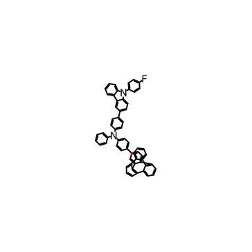 Fc1ccc(-n2c3ccccc3c3cc(-c4ccc(N(c5ccccc5)c5ccc(-c6ccc7c(c6)-c6c8cccc6-c6cccc-7c6-c6ccccc6-8)cc5)cc4)ccc32)cc1